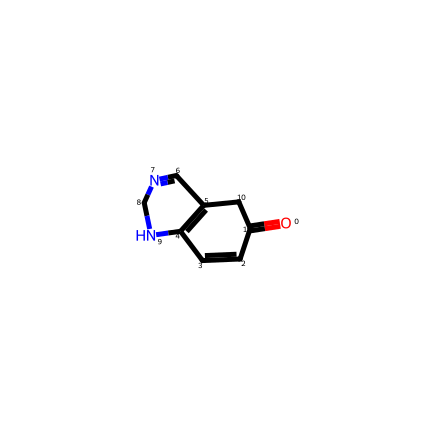 O=C1C=CC2=C(C=NCN2)C1